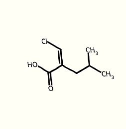 CC(C)CC(=CCl)C(=O)O